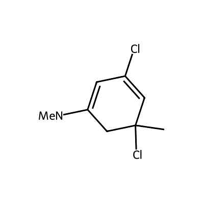 CNC1=CC(Cl)=CC(C)(Cl)C1